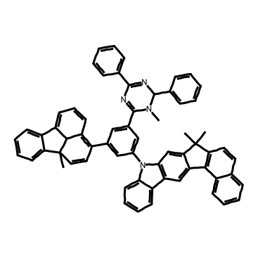 CN1C(c2cc(C3=C4C=CC=C5c6ccccc6C(C)(C=C3)C54)cc(-n3c4ccccc4c4cc5c(cc43)C(C)(C)c3ccc4ccccc4c3-5)c2)=NC(c2ccccc2)=NC1c1ccccc1